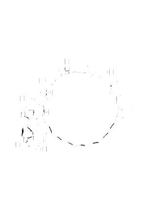 C[C@@H]1[C@H](O)[C@@H](C)/C=C/C=C/C=C/C=C/C=C/C=C/C=C/[C@H](O[C@@H]2O[C@H](C)[C@@H](O)[C@H](N)[C@@H]2O)C[C@@H]2O[C@](O)(C[C@@H](O)C[C@@H](O)[C@H](O)CC[C@@H](O)C[C@@H](O)CC(=O)O[C@H]1C)C[C@H](O)[C@H]2c1nc(-c2ccncc2)no1